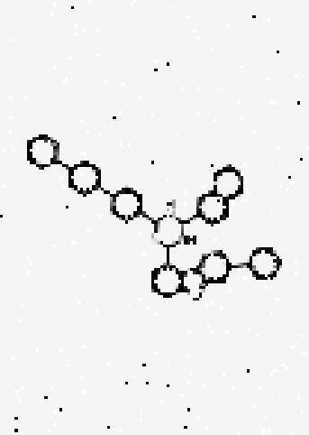 c1ccc(-c2ccc(-c3ccc(C4=NC(c5cccc6oc7cc(-c8ccccc8)ccc7c56)NC(c5ccc6ccccc6c5)N4)cc3)cc2)cc1